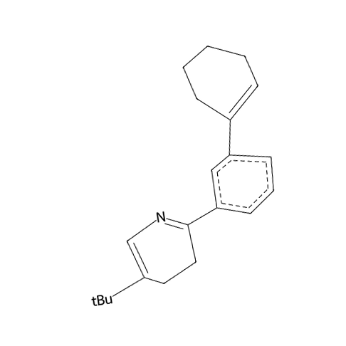 CC(C)(C)C1=CN=C(c2cccc(C3=CCCCC3)c2)CC1